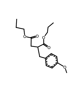 CCCOC(=O)CC(Cc1ccc(OC)cc1)C(=O)OCCC